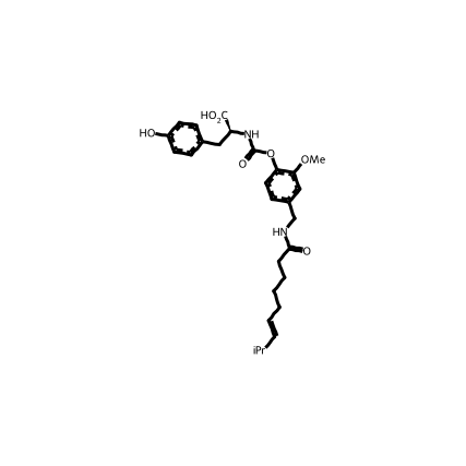 COc1cc(CNC(=O)CCCC/C=C/C(C)C)ccc1OC(=O)N[C@@H](Cc1ccc(O)cc1)C(=O)O